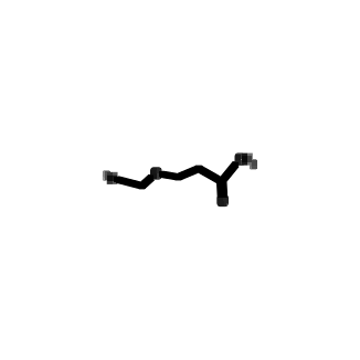 [3H]COCCC(C)=O